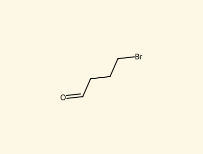 O=CCCCBr